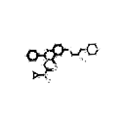 C[C@H](COc1ccc2nc(-c3ccccc3)n(CC(=O)N(C)C3CC3)c(=O)c2c1)CN1CCOCC1